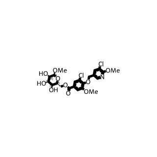 COc1cc(C(=O)OC[C@H]2O[C@H](OC)[C@H](O)[C@@H](O)[C@@H]2O)cc(Cl)c1OCc1cnc(OC)c(Cl)c1